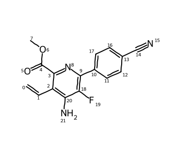 C=Cc1c(C(=O)OC)nc(-c2ccc(C#N)cc2)c(F)c1N